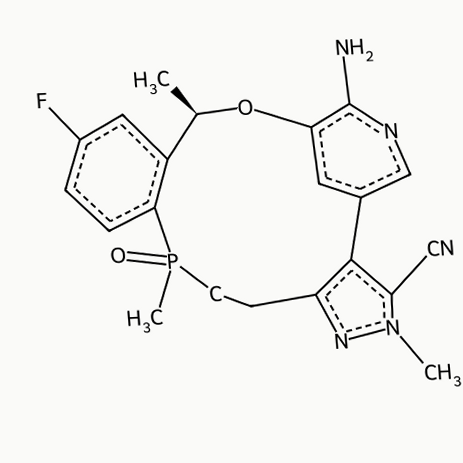 C[C@H]1Oc2cc(cnc2N)-c2c(nn(C)c2C#N)CCP(C)(=O)c2ccc(F)cc21